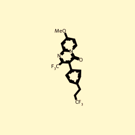 COc1ccn2c(=O)c(-c3ccc(CCC(F)(F)F)cc3)c(C(F)(F)F)nc2c1